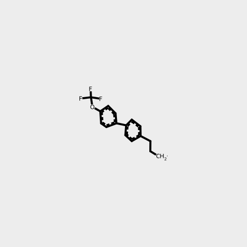 [CH2]CCc1ccc(-c2ccc(OC(F)(F)F)cc2)cc1